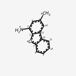 Cc1cc(N)c2oc3ccccc3c2c1